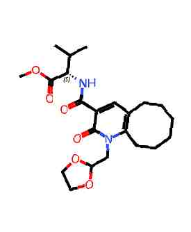 COC(=O)[C@@H](NC(=O)c1cc2c(n(CC3OCCO3)c1=O)CCCCCC2)C(C)C